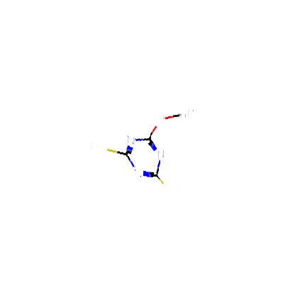 CCCOc1nc(S)nc(S)n1